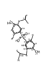 Cc1cc(O)c(CC(C)C)cc1S(=O)(=O)c1cc(CC(C)C)c(O)cc1C